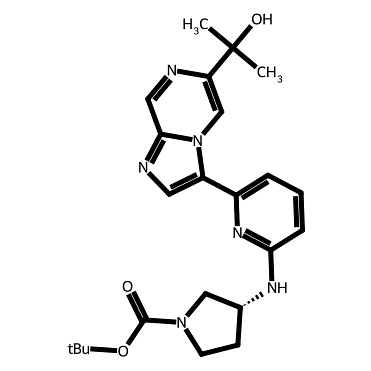 CC(C)(C)OC(=O)N1CC[C@@H](Nc2cccc(-c3cnc4cnc(C(C)(C)O)cn34)n2)C1